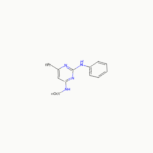 CCCCCCCCNc1cc(CCC)nc(Nc2ccccc2)n1